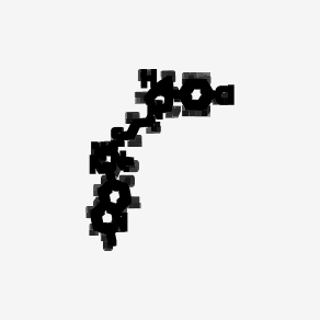 Cc1ccc2cc(-c3nnc(SCCCN4C[C@H]5CC5(c5ccc(Cl)cc5)C4)n3C)ccc2n1